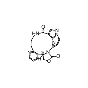 O=C1NCCCc2ncccc2[C@H]2COC(=O)N2c2ccn3ncc1c3n2